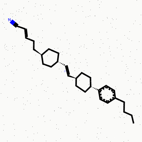 CCCCc1ccc([C@H]2CC[C@H](/C=C/[C@H]3CC[C@H](CCC=CC#N)CC3)CC2)cc1